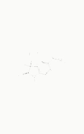 CC1(C)C(=O)Nc2ccc(CN)cc21.Cl